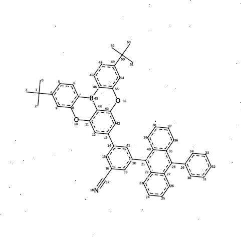 CC(C)(C)c1ccc2c(c1)Oc1cc(-c3cc(C#N)cc(-c4c5ccccc5c(-c5ccccc5)c5ccccc45)c3)cc3c1B2c1ccc(C(C)(C)C)cc1O3